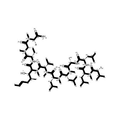 C/C=C/C[C@H](C)[C@H](O)C(C(=O)N[C@@H](CC)C(=O)N(C)CC(=O)N(C)[C@@H](C)C(N)=O)N(C)C(=O)[C@H](C(C)C)N(C)C(=O)[C@@H](CC(C)C)N(C)C(=O)[C@@H](CC(C)C)N(C)C(=O)[C@H](C)NC(=O)[C@H](CC(C)C)NC(=O)[C@H](CC(C)C)N(C)C(=O)[C@H](C)C(C)C